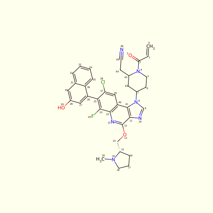 C=CC(=O)N1CCC(n2cnc3c(OC[C@@H]4CCCN4C)nc4c(F)c(-c5cc(O)cc6ccccc56)c(Cl)cc4c32)CC1CC#N